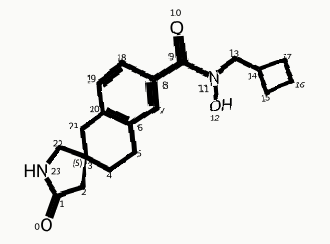 O=C1C[C@@]2(CCc3cc(C(=O)N(O)CC4CCC4)ccc3C2)CN1